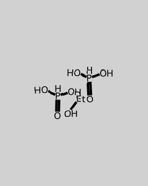 CCO.O=[PH](O)O.O=[PH](O)O